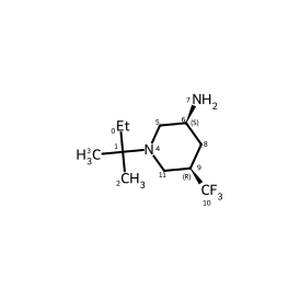 CCC(C)(C)N1C[C@@H](N)C[C@@H](C(F)(F)F)C1